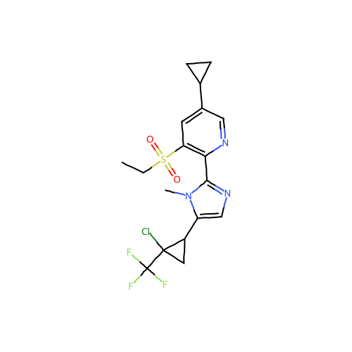 CCS(=O)(=O)c1cc(C2CC2)cnc1-c1ncc(C2CC2(Cl)C(F)(F)F)n1C